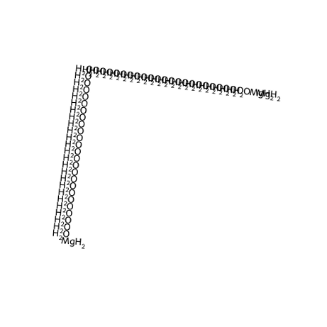 O.O.O.O.O.O.O.O.O.O.O.O.O.O.O.O.O.O.O.O.O.O.O.O.O.O.O.O.O.O.O.O.O.O.O.O.O.O.O.O.O.O.O.O.O.O.O.O.[MgH2].[MgH2].[MgH2]